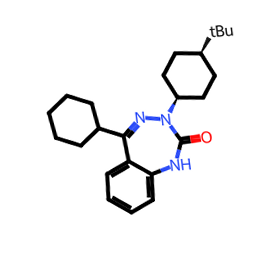 CC(C)(C)[C@H]1CC[C@@H](N2N=C(C3CCCCC3)c3ccccc3NC2=O)CC1